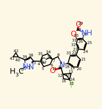 Cn1nc(C23CCC(CN(C(=O)C45CC(F)(C4)C5)c4cccc(-c5ccc6[nH]c(=O)oc6c5)c4)(CC2)CC3)cc1C1CC1